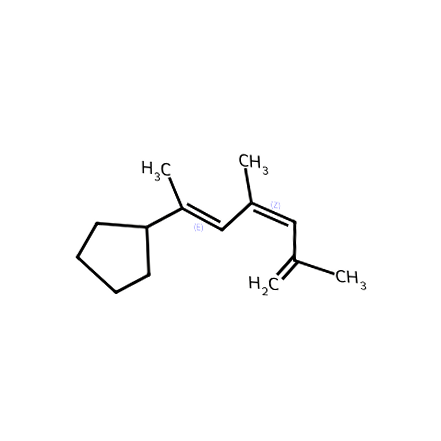 C=C(C)/C=C(C)\C=C(/C)C1CCCC1